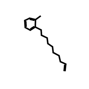 C=CCCCCCCCCc1ccccc1C